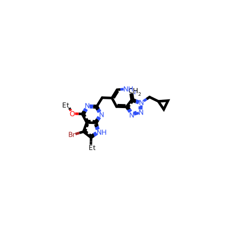 C=c1/c(=C\C(=C/N)Cc2nc(OCC)c3c(Br)c(CC)[nH]c3n2)nnn1CC1CC1